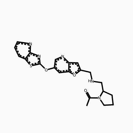 CC(=O)N1CCCC1CNCc1cc2ncc(Oc3nc4ncccc4s3)cc2o1